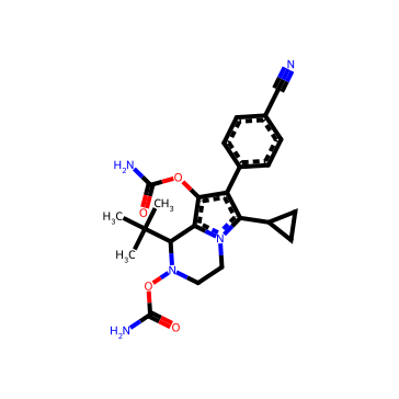 CC(C)(C)C1c2c(OC(N)=O)c(-c3ccc(C#N)cc3)c(C3CC3)n2CCN1OC(N)=O